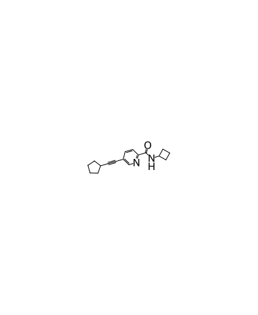 O=C(NC1CCC1)c1ccc(C#CC2CCCC2)cn1